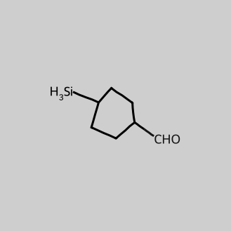 O=CC1CCC([SiH3])CC1